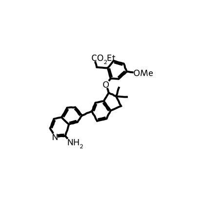 CCOC(=O)Cc1ccc(OC)cc1OC1c2cc(-c3ccc4ccnc(N)c4c3)ccc2CC1(C)C